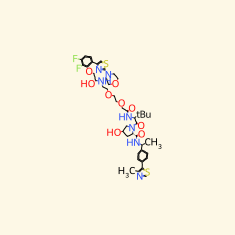 Cc1ncsc1-c1ccc([C@H](C)NC(=O)[C@@H]2C[C@@H](O)CN2C(=O)[C@@H](NC(=O)COCCOCCNC(O)COc2c(-c3csc(N4CCOCC4)n3)ccc(F)c2F)C(C)(C)C)cc1